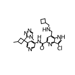 CC1CC(c2cncc(NC(=O)c3cc(CNCC4CCC4)c4[nH]cc(Cl)c4n3)c2)(c2nncn2C)C1